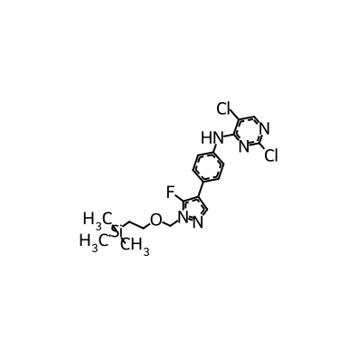 C[Si](C)(C)CCOCn1ncc(-c2ccc(Nc3nc(Cl)ncc3Cl)cc2)c1F